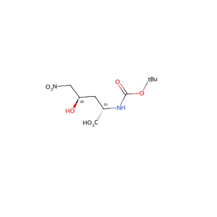 CC(C)(C)OC(=O)N[C@@H](C[C@@H](O)C[N+](=O)[O-])C(=O)O